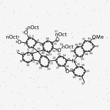 CCCCCCCCOc1cc2c(cc1OCCCCCCCC)C1(c3cc(C)ccc3-c3ccc(-c4ccc5c(c4)Oc4cc(C)ccc4N5c4ccc5cc(OC)ccc5c4)cc31)c1cc(OCCCCCCCC)c(OCCCCCCCC)cc1-2